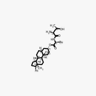 CCC(C)[C@H](NC(=O)[C@@H](N)[C@@H](C)O)C(=O)O[C@@H]1CC[C@@]2(C)[C@@H](CC[C@@H]3[C@@H]2CC[C@]2(C)[C@@H](C(C)=O)CC[C@@H]32)C1